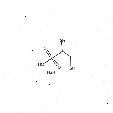 O=S(=O)(O)C(S)CS.[NaH]